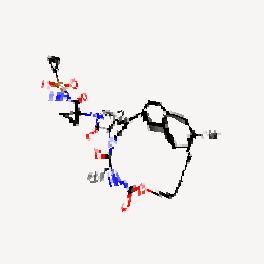 COc1cc2ccc3cc2cc1CCCCCOC(=O)N[C@@H](C(C)(C)C)C(=O)N1C[C@@]3(OC)C[C@H]1C(=O)NC1(C(=O)NS(=O)(=O)C2CC2)CC1